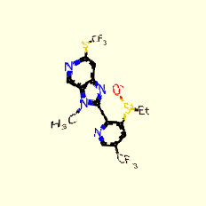 CC[S+]([O-])c1cc(C(F)(F)F)cnc1-c1nc2cc(SC(F)(F)F)ncc2n1C